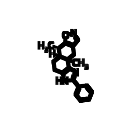 C[C@@H]1c2oncc2C[C@]2(C)c3nc(-c4ccccc4)[nH]c3CC[C@@H]12